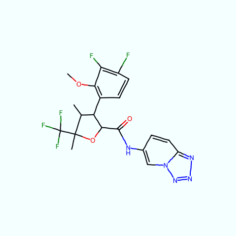 COc1c(C2C(C(=O)Nc3ccc4nnnn4c3)OC(C)(C(F)(F)F)C2C)ccc(F)c1F